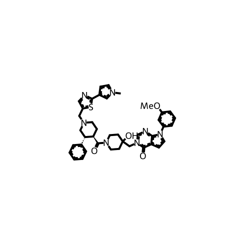 COc1cccc(-n2ccc3c(=O)n(CC4(O)CCN(C(=O)[C@@H]5CCN(Cc6cnc(-c7ccn(C)c7)s6)C[C@H]5c5ccccc5)CC4)cnc32)c1